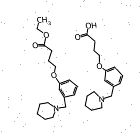 CCOC(=O)CCCOc1cccc(CN2CCCCC2)c1.O=C(O)CCCOc1cccc(CN2CCCCC2)c1